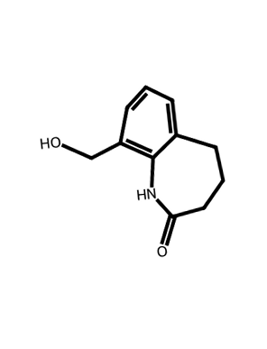 O=C1CCCc2cccc(CO)c2N1